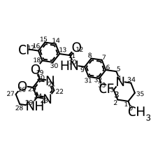 CC1CCN(Cc2ccc(NC(=O)c3ccc(Cl)c(Oc4ncnc5c4OCCN5)c3)cc2C(F)(F)F)CC1